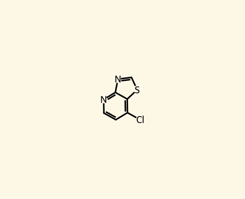 Clc1ccnc2ncsc12